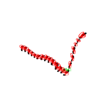 CCOC(=O)CC(Cl)Cl.CCOC(C)=O.CCOC(C)=O.CCOC(C)=O.CCOC(C)=O.CCOC(C)=O.CCOC(C)=O.CCOC(C)=O.CCOC(C)=O.CCOC(C)=O.CCOC(C)=O.CCOC(C)=O.CCOC(C)=O.CCOC(C)=O.CCOC(C)=O.CCOC(C)=O.CCOC(C)=O.CCOC(C)=O.CCOC(C)=O.CCOC(C)=O